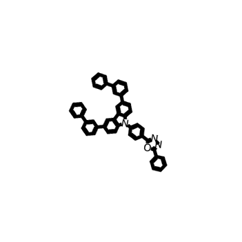 c1ccc(-c2cccc(-c3ccc4c(c3)c3cc(-c5cccc(-c6ccccc6)c5)ccc3n4-c3ccc(-c4nnc(-c5ccccc5)o4)cc3)c2)cc1